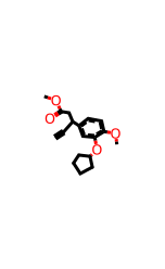 C#CC(CC(=O)OC)c1ccc(OC)c(OC2CCCC2)c1